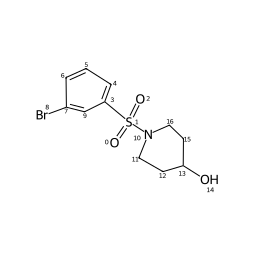 O=S(=O)(c1cccc(Br)c1)N1CCC(O)CC1